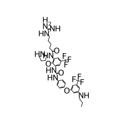 CCCNc1cc(Oc2ccc(NC(=O)Nc3cc(C(F)(F)F)cc(NC(=O)CCCCNC(=N)N)c3O[C@@H]3CCNC3)cc2)cc(C(F)(F)F)c1